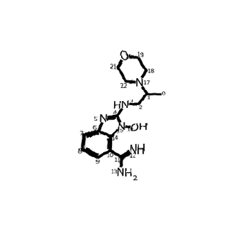 CC(CNc1nc2cccc(C(=N)N)c2n1O)N1CCOCC1